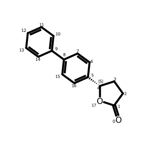 O=C1CC[C@@H](c2ccc(-c3ccccc3)cc2)O1